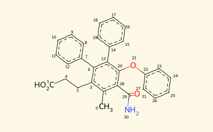 Cc1c(CCC(=O)O)c(-c2ccccc2)c(-c2ccccc2)c(Oc2ccccc2)c1C(N)=O